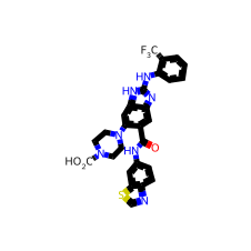 O=C(Nc1ccc2ncsc2c1)c1cc2nc(Nc3ccccc3C(F)(F)F)[nH]c2cc1N1CCN(C(=O)O)CC1